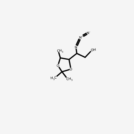 CC1OC(C)(C)OC1C(CO)N=[N+]=[N-]